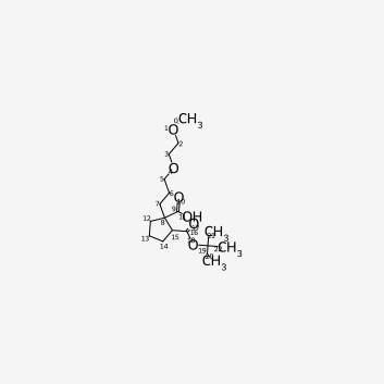 COCCOCCCC1(C(=O)O)CCCC1C(=O)OC(C)(C)C